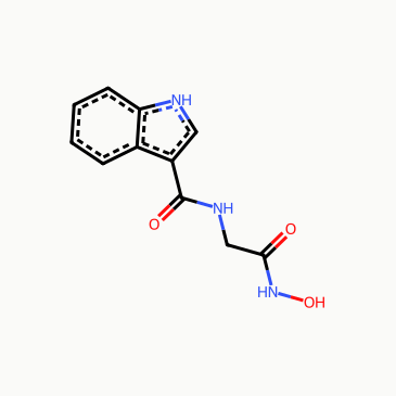 O=C(CNC(=O)c1c[nH]c2ccccc12)NO